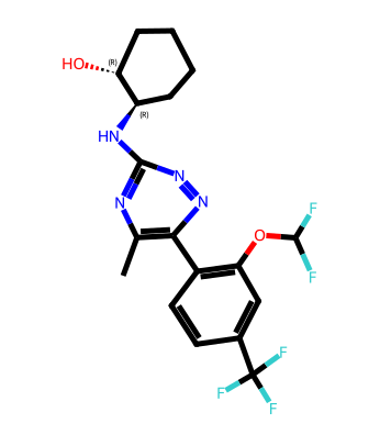 Cc1nc(N[C@@H]2CCCC[C@H]2O)nnc1-c1ccc(C(F)(F)F)cc1OC(F)F